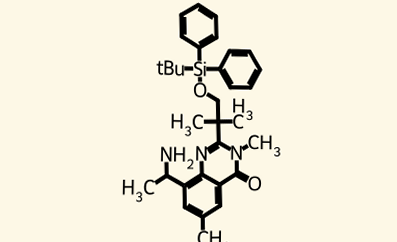 Cc1cc(C(C)N)c2nc(C(C)(C)CO[Si](c3ccccc3)(c3ccccc3)C(C)(C)C)n(C)c(=O)c2c1